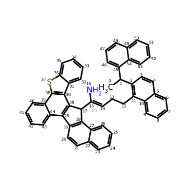 CC(c1ccc2ccccc2c1CC/C=C(\N)C1c2c(ccc3ccccc23)-c2c1c1c3ccccc3sc1c1ccccc21)c1cccc2ccccc12